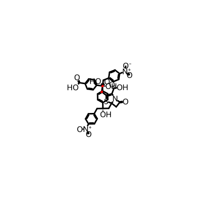 O=C(O)C1=C(C[C@@](O)(Cc2ccc([N+](=O)[O-])cc2)c2ccc(C(=O)O)cc2)SC2(C[C@@](O)(Cc3ccc([N+](=O)[O-])cc3)c3ccc(C(=O)O)cc3)CC(=O)N12